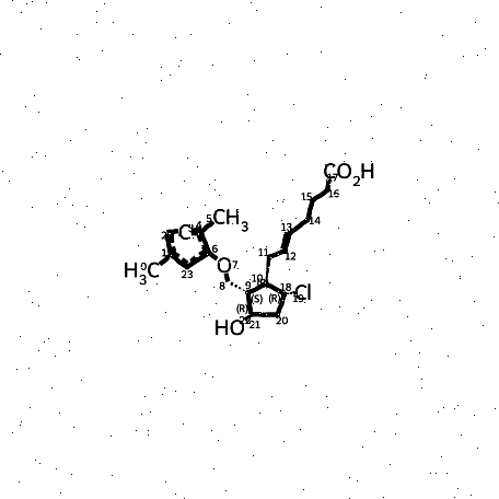 Cc1ccc(C)c(OC[C@@H]2[C@@H](CC=CCCCC(=O)O)[C@H](Cl)C[C@H]2O)c1